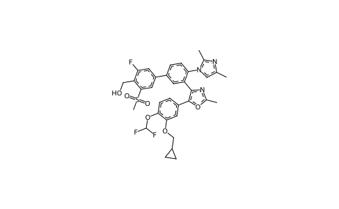 Cc1cn(-c2ccc(-c3cc(F)c(CO)c(S(C)(=O)=O)c3)cc2-c2nc(C)oc2-c2ccc(OC(F)F)c(OCC3CC3)c2)c(C)n1